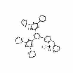 CC1(C)c2ccccc2Sc2ccc(-c3cc(C4=NC(c5ccccc5)=NC(c5ccccc5)N4)cc(-c4nc(C5=CC=CCC5)nc(-c5ccccc5)n4)c3)cc21